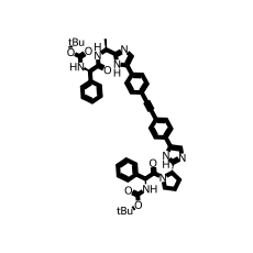 C[C@H](NC(=O)[C@H](NC(=O)OC(C)(C)C)c1ccccc1)c1ncc(-c2ccc(C#Cc3ccc(-c4cnc([C@@H]5CCCN5C(=O)[C@H](NC(=O)OC(C)(C)C)c5ccccc5)[nH]4)cc3)cc2)[nH]1